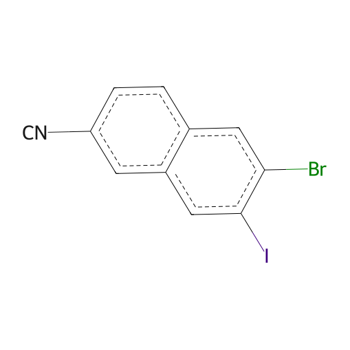 [C-]#[N+]c1ccc2cc(Br)c(I)cc2c1